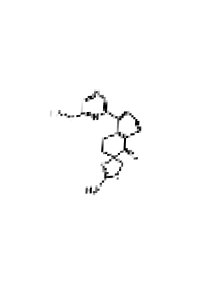 COc1cncc(-c2cccc3c2CCC2(COC(N)=N2)C3=O)n1